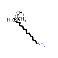 CCO[Si](C)(C)CCCCCCCCCCCCCN